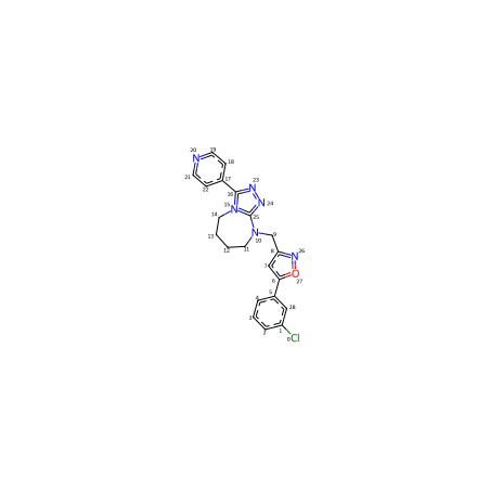 Clc1cccc(-c2cc(CN3CCCCn4c(-c5ccncc5)nnc43)no2)c1